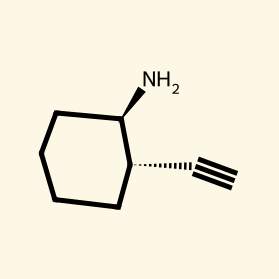 C#C[C@@H]1CCCC[C@H]1N